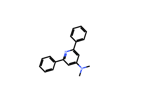 CN(C)c1cc(-c2ccccc2)nc(-c2ccccc2)c1